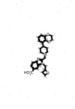 O=C(O)c1ccc2nc(CN3CCC(c4cccc5c4OCCO5)CC3)n(CC3CCO3)c2c1